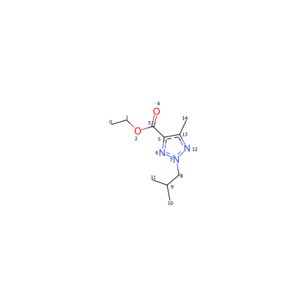 CCOC(=O)c1nn(CC(C)C)nc1C